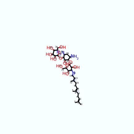 CC(C)=CCC/C(C)=C/CC/C(C)=C/C=N/C1C(O)C(CO)OC(OC2C(N)CC(N)[C@H](OC3OC(CO)C(O)C(O)C3O)C2O)C1O